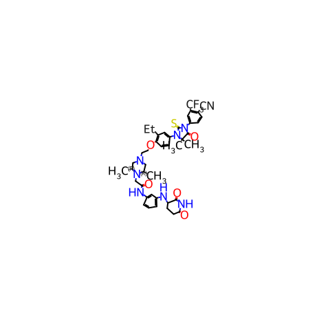 CCc1cc(N2C(=S)N(c3ccc(C#N)c(C(F)(F)F)c3)C(=O)C2(C)C)ccc1OCCN1C[C@@H](C)N(CC(=O)Nc2cccc(NC3CCC(=O)NC3=O)c2)[C@H](C)C1